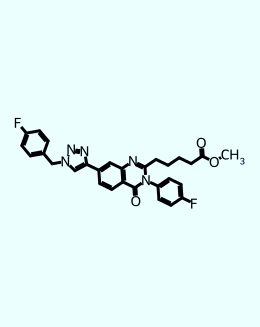 COC(=O)CCCCc1nc2cc(-c3cn(Cc4ccc(F)cc4)nn3)ccc2c(=O)n1-c1ccc(F)cc1